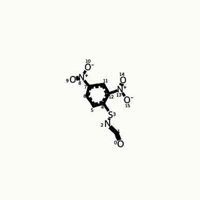 O=C=NSc1ccc([N+](=O)[O-])cc1[N+](=O)[O-]